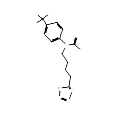 CC(C)C(=O)N(CCCCc1nnn[nH]1)c1ccc(C(O)(C(F)(F)F)C(F)(F)F)cc1